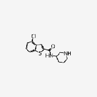 O=C(NC1CCCNC1)c1cc2c(Cl)cccc2s1